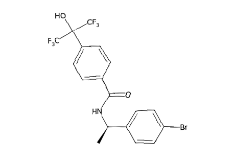 C[C@@H](NC(=O)c1ccc(C(O)(C(F)(F)F)C(F)(F)F)cc1)c1ccc(Br)cc1